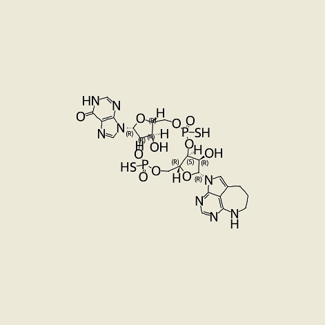 O=c1[nH]cnc2c1ncn2[C@@H]1O[C@@H]2COP(=O)(S)O[C@H]3[C@@H](O)[C@H](n4cc5c6c(ncnc64)NCCC5)O[C@@H]3COP(=O)(S)O[C@@H]1[C@@H]2O